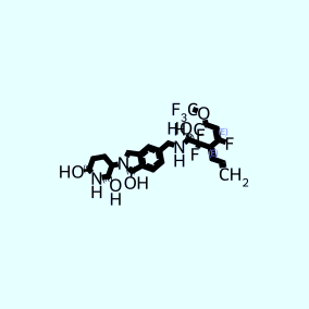 C=C/C=C(\C(F)=C/C(C)OC(F)(F)F)C(F)(F)[C@H](O)NCc1ccc2c(c1)CN(C1CC[C@H](O)N[C@@H]1O)[C@H]2O